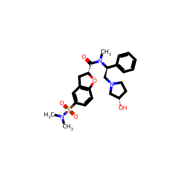 CN(C(=O)[C@H]1Cc2cc(S(=O)(=O)N(C)C)ccc2O1)[C@H](CN1CC[C@H](O)C1)c1ccccc1